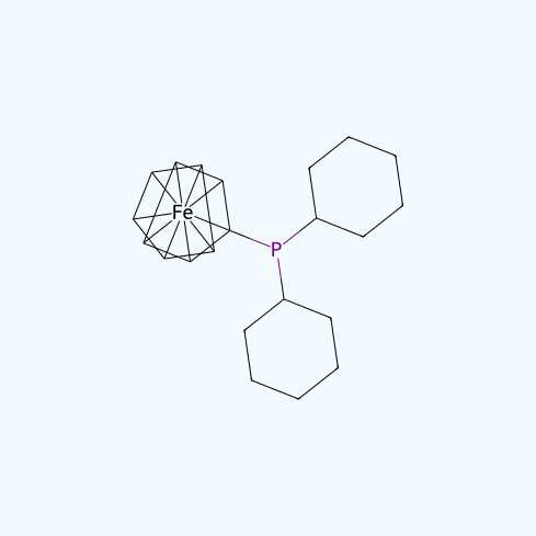 C1CCC(P(C2CCCCC2)[C]23[CH]4[CH]5[CH]6[CH]2[Fe]56432789[CH]3[CH]2[CH]7[CH]8[CH]39)CC1